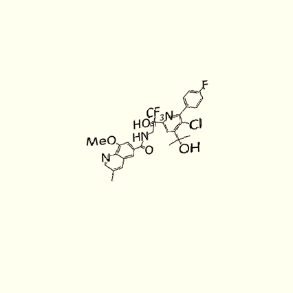 COc1cc(C(=O)NC[C@](O)(c2cc(C(C)(C)O)c(Cl)c(-c3ccc(F)cc3)n2)C(F)(F)F)cc2cc(C)cnc12